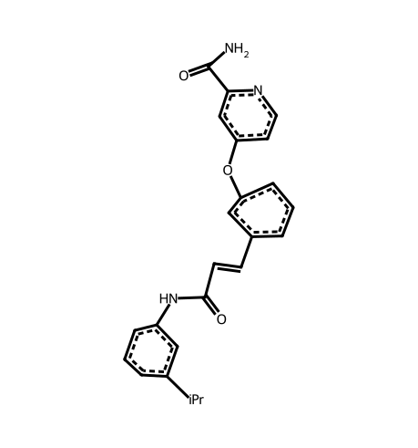 CC(C)c1cccc(NC(=O)C=Cc2cccc(Oc3ccnc(C(N)=O)c3)c2)c1